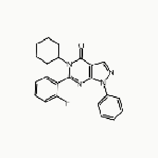 O=c1c2cnn(-c3ccccc3)c2nc(-c2ccccc2F)n1C1CCCCC1